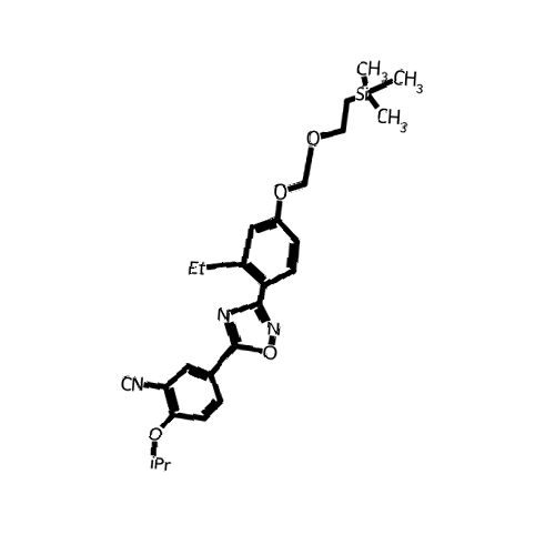 [C-]#[N+]c1cc(-c2nc(-c3ccc(OCOCC[Si](C)(C)C)cc3CC)no2)ccc1OC(C)C